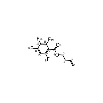 C=CCCOC(=O)c1c(F)cc(F)c(F)c1F